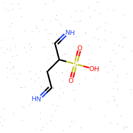 N=[C]CC([C]=N)S(=O)(=O)O